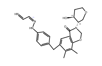 Cc1c(Cc2ccc(N/N=C\C=N)cc2)cc2c(c1C)OCN([C@H]1COCC[C@@H]1O)C2=O